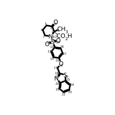 C[C@]1(C(=O)O)C(=O)CCCN1S(=O)(=O)c1ccc(OCc2nc3ccccc3s2)cc1